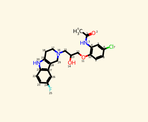 CC(=O)Nc1cc(Cl)ccc1OCC(O)CN1CCc2[nH]c3ccc(F)cc3c2C1